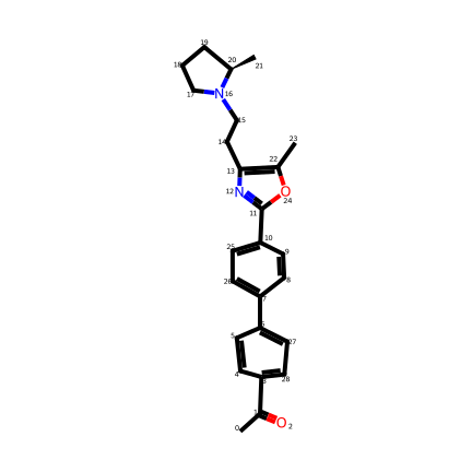 CC(=O)c1ccc(-c2ccc(-c3nc(CCN4CCC[C@H]4C)c(C)o3)cc2)cc1